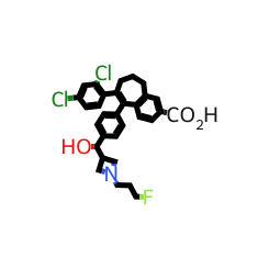 O=C(O)c1ccc2c(c1)CCCC(c1ccc(Cl)cc1Cl)=C2c1ccc(C(O)C2CN(CCCF)C2)cc1